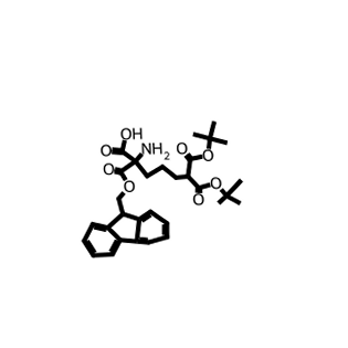 CC(C)(C)OC(=O)C(CCCC(N)(C(=O)O)C(=O)OCC1c2ccccc2-c2ccccc21)C(=O)OC(C)(C)C